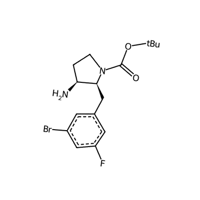 CC(C)(C)OC(=O)N1CC[C@H](N)[C@@H]1Cc1cc(F)cc(Br)c1